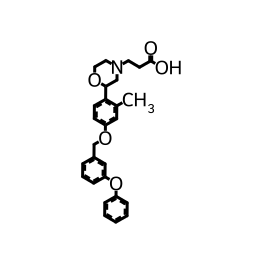 Cc1cc(OCc2cccc(Oc3ccccc3)c2)ccc1C1CN(CCC(=O)O)CCO1